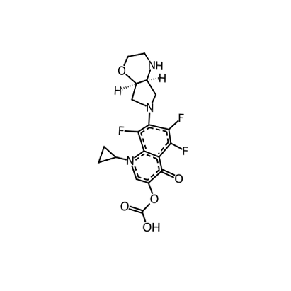 O=C(O)Oc1cn(C2CC2)c2c(F)c(N3C[C@@H]4NCCO[C@@H]4C3)c(F)c(F)c2c1=O